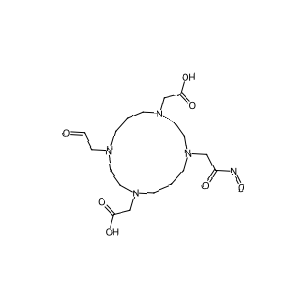 O=CCN1CCCN(CC(=O)O)CCN(CC(=O)N=O)CCCN(CC(=O)O)CC1